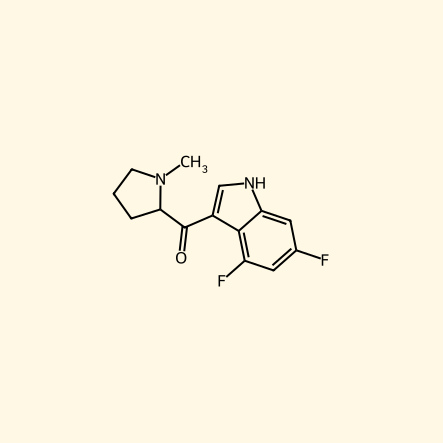 CN1CCCC1C(=O)c1c[nH]c2cc(F)cc(F)c12